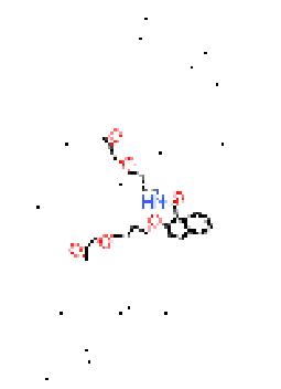 O=C(NCCCCOCC1CO1)c1c(OCCCCOCC2CO2)ccc2ccccc12